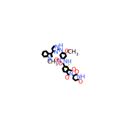 COc1cc(NCc2ccc3c(c2F)C(=O)N(C2CCC(=O)NC2=O)C3=O)c([N+](=O)[O-])cc1Nc1nccc(-c2cn(C)c3ccccc23)n1